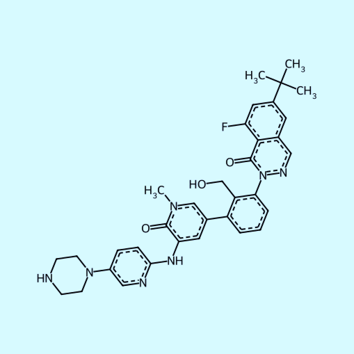 Cn1cc(-c2cccc(-n3ncc4cc(C(C)(C)C)cc(F)c4c3=O)c2CO)cc(Nc2ccc(N3CCNCC3)cn2)c1=O